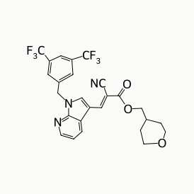 N#C/C(=C\c1cn(Cc2cc(C(F)(F)F)cc(C(F)(F)F)c2)c2ncccc12)C(=O)OCC1CCOCC1